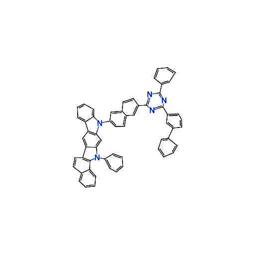 c1ccc(-c2cccc(-c3nc(-c4ccccc4)nc(-c4ccc5cc(-n6c7ccccc7c7cc8c9ccc%10ccccc%10c9n(-c9ccccc9)c8cc76)ccc5c4)n3)c2)cc1